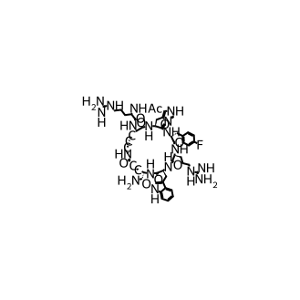 CC(=O)N[C@H](CCCNC(=N)N)C(=O)N[C@H]1CCCNC(=O)CC[C@@H](C(N)=O)NC(=O)[C@H](Cc2c[nH]c3ccccc23)NC(=O)[C@H](CCCNC(=N)N)NC(=O)[C@@H](Cc2ccc(F)cc2)NC(=O)[C@H](Cc2c[nH]cn2)NC1=O